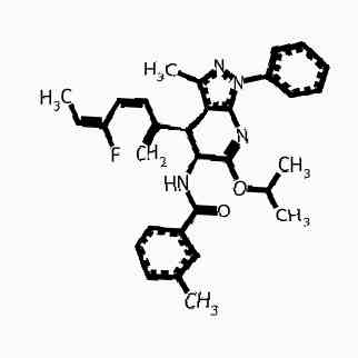 C=C(/C=C\C(F)=C/C)[C@H]1c2c(C)nn(-c3ccccc3)c2N=C(OC(C)C)[C@H]1NC(=O)c1cccc(C)c1